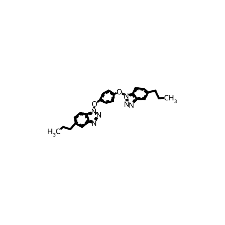 CCCc1ccc2c(c1)nnn2Oc1ccc(On2nnc3cc(CCC)ccc32)cc1